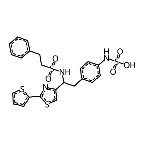 O=S(=O)(O)Nc1ccc(CC(NS(=O)(=O)CCc2ccccc2)c2csc(-c3cccs3)n2)cc1